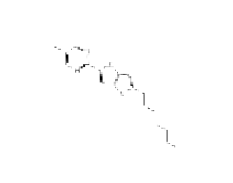 CCCCCCCc1cc2sc(-c3ncc(CC)cn3)cc2s1